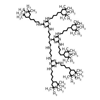 CN1C(C)(C)CC(CCCCNc2nc(NCCCCC3CC(C)(C)N(C)C(C)(C)C3)nc(NCCCNCCN(CCCNc3nc(NCCCCC4CC(C)(C)N(C)C(C)(C)C4)nc(NCCCCC4CC(C)(C)N(C)C(C)(C)C4)n3)c3nc(NCCCCC4CC(C)(C)N(C)C(C)(C)C4)nc(NCCCCC4CC(C)(C)N(C)C(C)(C)C4)n3)n2)CC1(C)C